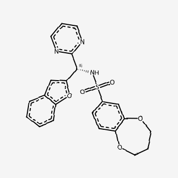 O=S(=O)(N[C@@H](c1ncccn1)c1cc2ccccc2o1)c1ccc2c(c1)OCCCO2